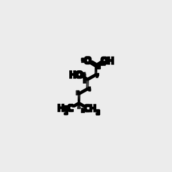 CC(C)CCC(O)CC(=O)O